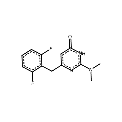 CN(C)c1nc(Cc2c(F)cccc2F)cc(=O)[nH]1